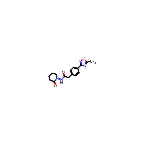 O=C(Cc1ccc(-c2noc(C(F)(F)F)n2)cc1)NN1CCCCC1=O